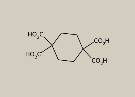 O=C(O)C1(C(=O)O)CCC(C(=O)O)(C(=O)O)CC1